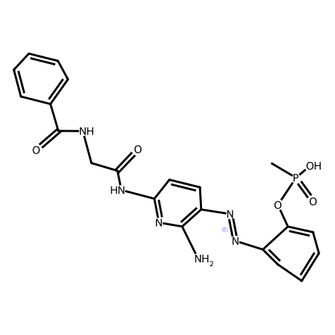 CP(=O)(O)Oc1ccccc1/N=N/c1ccc(NC(=O)CNC(=O)c2ccccc2)nc1N